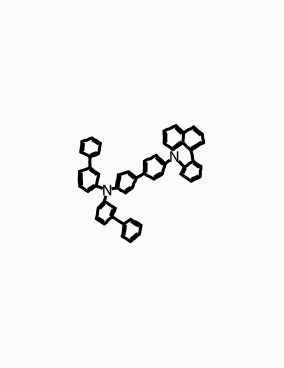 c1ccc(-c2cccc(N(c3ccc(-c4ccc(N5c6ccccc6-c6cccc7cccc5c67)cc4)cc3)c3cccc(-c4ccccc4)c3)c2)cc1